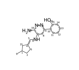 CC1CC/C(=C\Nc2cc(-c3ccccc3O)nnc2N)C1